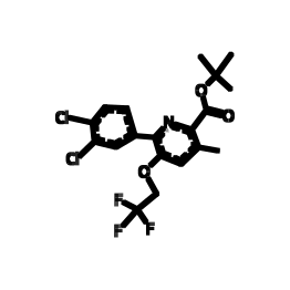 Cc1cc(OCC(F)(F)F)c(-c2ccc(Cl)c(Cl)c2)nc1C(=O)OC(C)(C)C